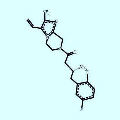 C=Cc1c(C(F)(F)F)nc2n1CCN(C(=O)C[C@H](N)Cc1cc(F)ccc1F)C2